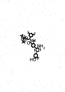 CC(C)(C)OP(=O)(OCC(NC(=O)c1ccc(-c2nc([C@H]3CC[C@H](O)[C@@H](F)C3)cnc2N)cc1F)c1cc(F)cc(I)c1)OC(C)(C)C